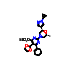 CCOC(=O)c1nc(N2C[C@@H](C)O[C@@H](c3cnn(C4CC4)c3)C2)nc(C2=CCCCC2)c1C1OCCO1